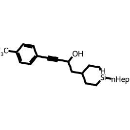 CCCCCCC[SiH]1CCC(CC(O)C#Cc2ccc(C(F)(F)F)cc2)CC1